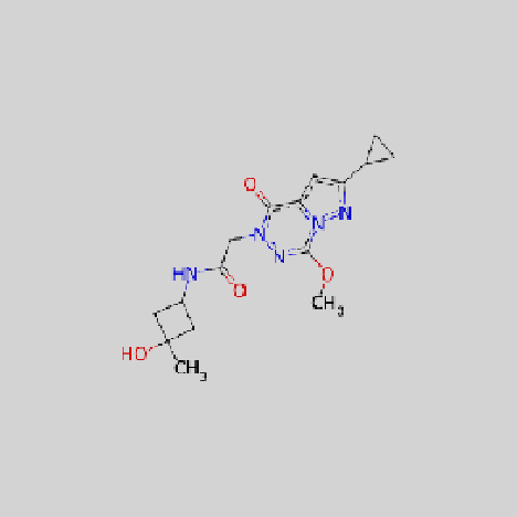 COc1nn(CC(=O)NC2CC(C)(O)C2)c(=O)c2cc(C3CC3)nn12